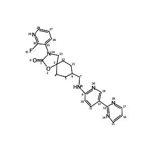 O=C1OC2(CCC(CNc3ccc(-c4ncccn4)cn3)CC2)CN1c1cccnc1F